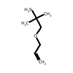 C=CCOCC(C)(C)[SiH3]